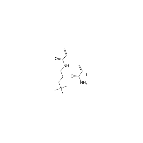 C=CC(=O)NCCC[N+](C)(C)C.C=CC(N)=O.[I-]